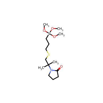 CO[Si](CCCSCC(C)(C)N1CCCC1=O)(OC)OC